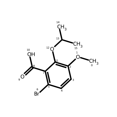 COc1ccc(Br)c(C(=O)O)c1OC(C)C